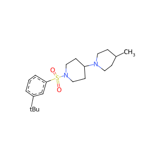 CC1CCN(C2CCN(S(=O)(=O)c3cccc(C(C)(C)C)c3)CC2)CC1